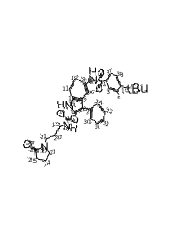 CC(C)(C)c1ccc(S(=O)(=O)Nc2ccc3[nH]c(OC(=O)NCCCN4CCCC4=O)c(-c4ccccc4)c3c2)cc1